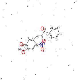 O=C(/C=C/c1cc2c(cc1[N+](=O)[O-])OCO2)c1ccccc1